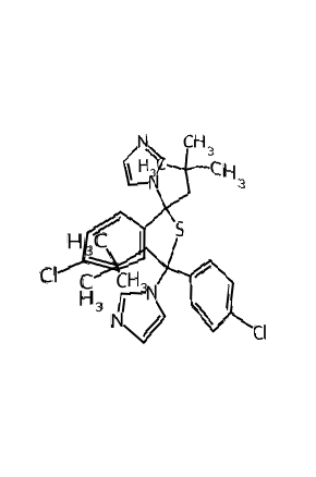 CC(C)(C)CC(SC(CC(C)(C)C)(c1ccc(Cl)cc1)n1ccnc1)(c1ccc(Cl)cc1)n1ccnc1